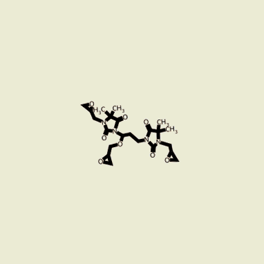 CC1(C)C(=O)N(CCC(OCC2CO2)N2C(=O)N(CC3CO3)C(C)(C)C2=O)C(=O)N1CC1CO1